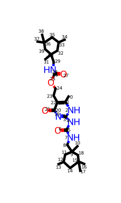 Cc1[nH]c(NC(=O)NCC2(C)CC(C)CC(C)(C)C2)nc(=O)c1CCOC(=O)NCC1(C)CC(C)CC(C)(C)C1